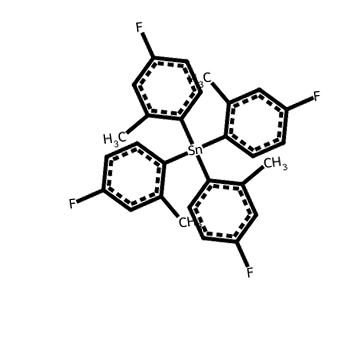 Cc1cc(F)cc[c]1[Sn]([c]1ccc(F)cc1C)([c]1ccc(F)cc1C)[c]1ccc(F)cc1C